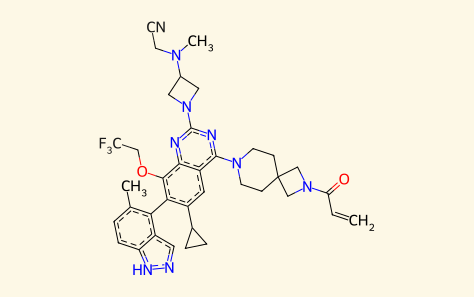 C=CC(=O)N1CC2(CCN(c3nc(N4CC(N(C)CC#N)C4)nc4c(OCC(F)(F)F)c(-c5c(C)ccc6[nH]ncc56)c(C5CC5)cc34)CC2)C1